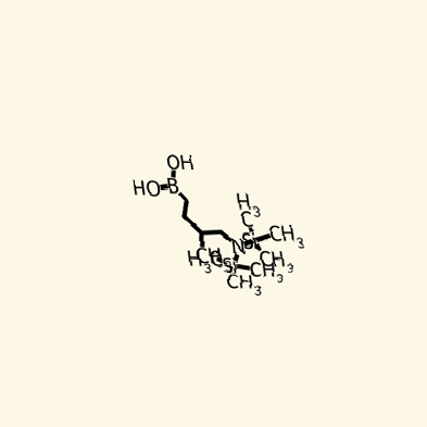 CC(CCB(O)O)CN([Si](C)(C)C)[Si](C)(C)C